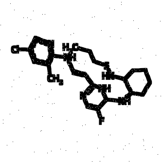 CCCSNC1CCCCC1NC1NC(/C=C/Nc2ncc(Cl)cc2C)=NC=C1F